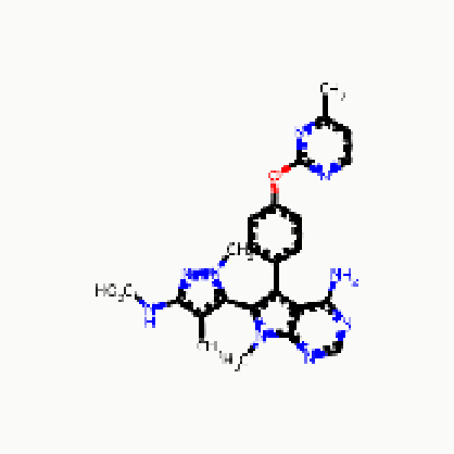 Cc1ccnc(Oc2ccc(-c3c(-c4c(C)c(NC(=O)O)nn4C)n(C)c4ncnc(N)c34)cc2)n1